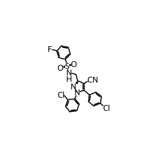 N#Cc1c(CNS(=O)(=O)c2cccc(F)c2)nn(-c2ccccc2Cl)c1-c1ccc(Cl)cc1